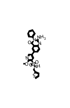 COc1ncc(-c2ccc3nc(N)n(-c4ccccc4)c(=O)c3c2)cc1S(=O)(=O)NCc1cccs1